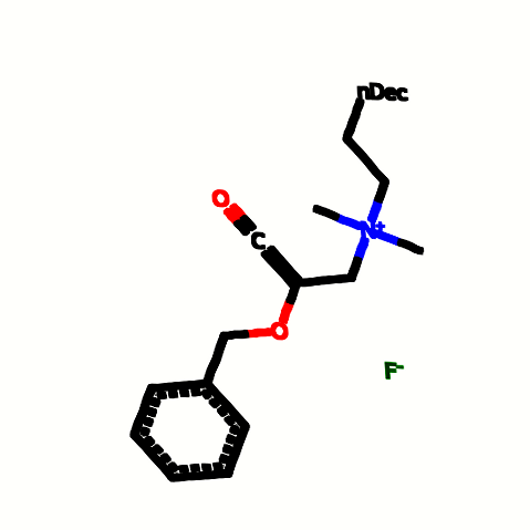 CCCCCCCCCCCC[N+](C)(C)CC(=C=O)OCc1ccccc1.[F-]